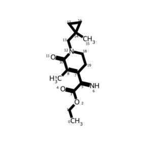 CCOC(=O)C(=N)C1=C(C)C(=O)N(CC2(C)CC2)CC1